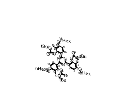 CCCCCCOc1ccc(-c2nc(-c3ccc(OCCCCCC)c(C)c3OC(=O)OC(C)(C)C)nc(-c3ccc(OCCCCCC)c(C)c3OC(=O)OC(C)(C)C)n2)c(OC(=O)OC(C)(C)C)c1C